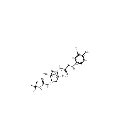 CC(C)(C)OC(=O)N[C@H]1C[C@H]2O[C@@H]1C[C@@H]2NC(=O)COc1ccc(Cl)c(F)c1